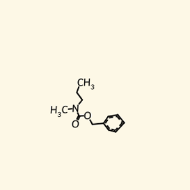 CCCN(C)C(=O)OCc1ccccc1